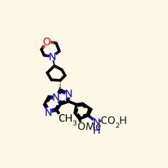 COc1cc(-c2nc([C@H]3CC[C@H](N4CCOCC4)CC3)n3ccnc(C)c23)ccc1NC(=O)O